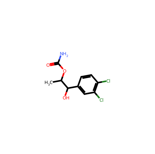 CC(OC(N)=O)C(O)c1ccc(Cl)c(Cl)c1